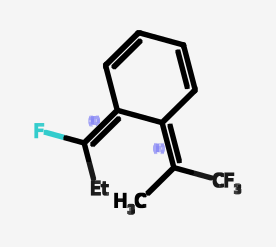 CC/C(F)=c1/cccc/c1=C(/C)C(F)(F)F